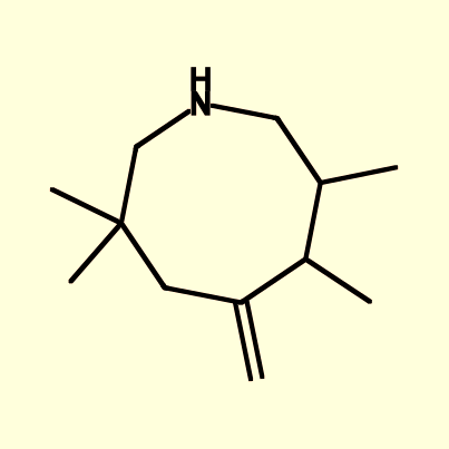 C=C1CC(C)(C)CNCC(C)C1C